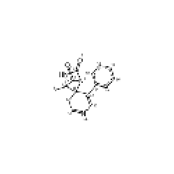 CC12NC(=O)N(C1=O)C21CC=NC=C1c1ccccc1